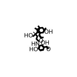 C/C=C\C12CC(C)(O)CC(C)(C1)C(C)C2[C@@](C)(CO)CCC(=O)Nc1c(O)ccc(C=O)c1O